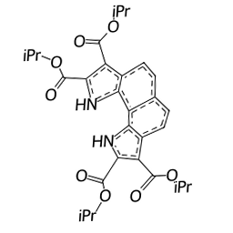 CC(C)OC(=O)c1[nH]c2c(ccc3ccc4c(C(=O)OC(C)C)c(C(=O)OC(C)C)[nH]c4c32)c1C(=O)OC(C)C